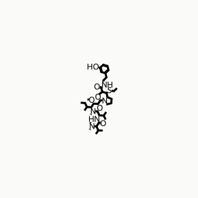 CCSC(C(C)C(=O)NCCc1cccc(O)c1)C1CCCN1C(=O)CC(OC)C(C(C)CC)N(C)C(=O)C(NC(=O)C(C(C)C)N(C)C)C(C)C